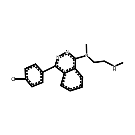 CNCCN(C)c1nnc(-c2ccc(Cl)cc2)c2ccccc12